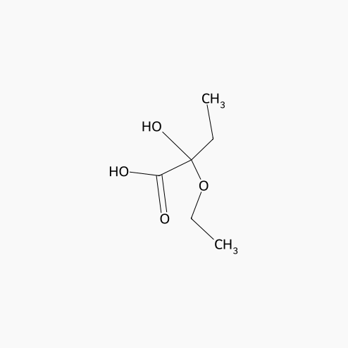 CCOC(O)(CC)C(=O)O